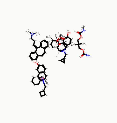 CCCC(C)(COC(N)=O)COC(=O)NC(C)C.CN(C)CCC=C1c2ccccc2C=Cc2ccccc21.CO[C@]12CC[C@@]3(C[C@@H]1[C@](C)(O)C(C)(C)C)[C@H]1Cc4ccc(O)c5c4[C@@]3(CCN1CC1CC1)[C@H]2O5.Oc1ccc2c(c1)[C@@]13CCCC[C@@]1(O)[C@@H](C2)N(CC1CCC1)CC3